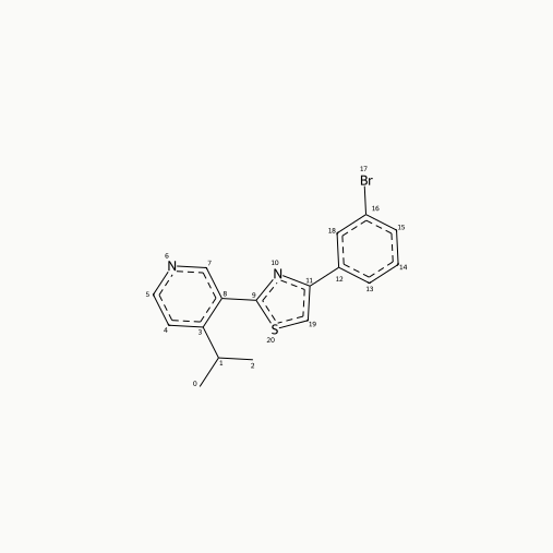 CC(C)c1ccncc1-c1nc(-c2cccc(Br)c2)cs1